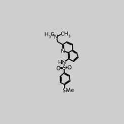 CSc1ccc(S(=O)(=O)Nc2cccc3ccc(CN(C)C)nc23)cc1